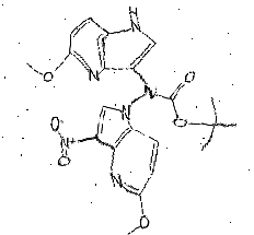 COc1ccc2[nH]cc(N(C(=O)OC(C)(C)C)n3cc([N+](=O)[O-])c4nc(OC)ccc43)c2n1